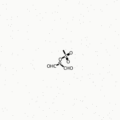 CS(=O)(=O)ON(C=O)C=O